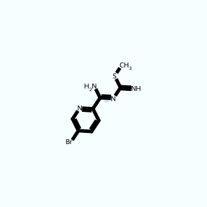 CSC(=N)/N=C(\N)c1ccc(Br)cn1